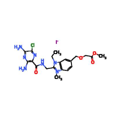 CCn1c(CNC(=O)c2nc(Cl)c(N)nc2N)[n+](C)c2ccc(COCC(=O)OC)cc21.[I-]